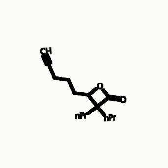 C#CCCCC1OC(=O)C1(CCC)CCC